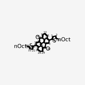 CCCCCCCCc1ccc(-c2cc3c4c5c2cccc5c(=O)c2cc(-c5ccc(CCCCCCCC)s5)c5cccc(c3=O)c5c2-4)s1